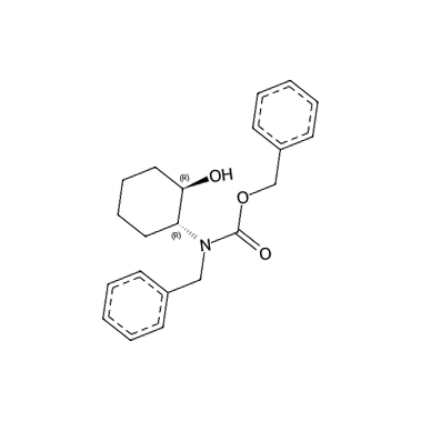 O=C(OCc1ccccc1)N(Cc1ccccc1)[C@@H]1CCCC[C@H]1O